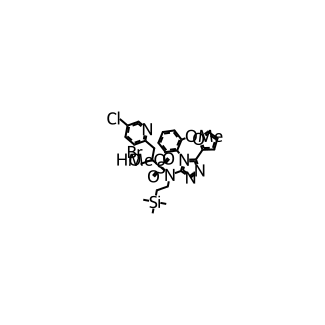 COc1cccc(OC)c1-n1c(-c2ccco2)nnc1N(CC[Si](C)(C)C)S(=O)(=O)C(CO)Cc1ncc(Cl)cc1Br